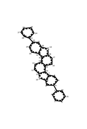 c1ccc(-c2ccc3c(c2)sc2ccc4c(ccc5sc6cc(-c7ccccc7)ccc6c54)c23)cc1